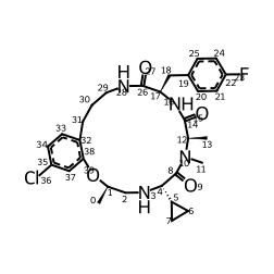 C[C@@H]1CN[C@@H](C2CC2)C(=O)N(C)[C@H](C)C(=O)N[C@H](Cc2ccc(F)cc2)C(=O)NCCCc2ccc(Cl)cc2O1